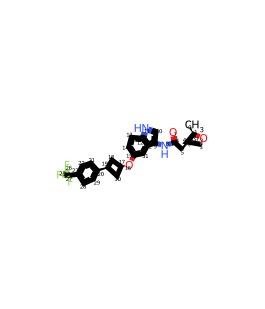 C[C@@H]1OC[C@H]1CC(=O)Nc1c[nH]c2ccc(O[C@H]3C[C@H](c4ccc(C(F)(F)F)cc4)C3)cc12